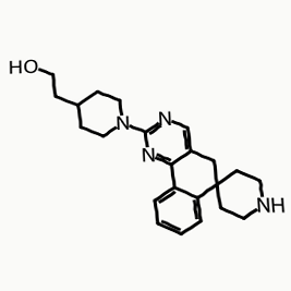 OCCC1CCN(c2ncc3c(n2)-c2ccccc2C2(CCNCC2)C3)CC1